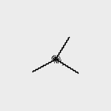 CCCCCCCCC=CCCCCCCCC(=O)C(N)(C(=O)CCCCCCCC=CCCCCCCCC)C(=O)CCCCCCCC=CCCCCCCCC